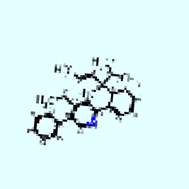 CC=CC(C)(C(C)C)C1CC=CC=C1c1cc(CC)c(-c2ccccc2)cn1